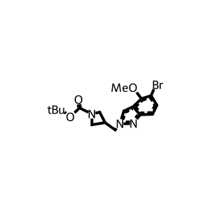 COc1c(Br)ccc2nn(CC3CN(C(=O)OC(C)(C)C)C3)cc12